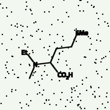 CCN(C)C(CCSC)C(=O)O